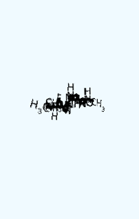 CCC(=O)Nc1cncc(-c2ccc3[nH]nc(-c4cc5c(-c6cc(F)cc(NCCN(C)C)c6)ccnc5[nH]4)c3n2)c1